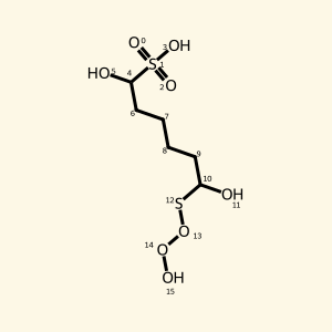 O=S(=O)(O)C(O)CCCCC(O)SOOO